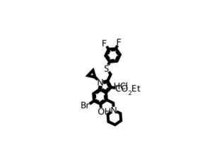 CCOC(=O)c1c(CSc2ccc(F)c(F)c2)n(C2CC2)c2cc(Br)c(O)c(CN3CCCCC3)c12.Cl